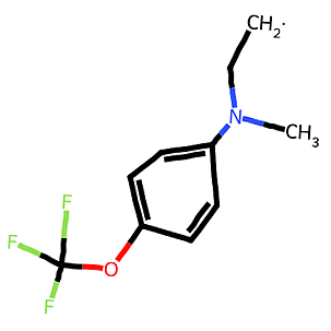 [CH2]CN(C)c1ccc(OC(F)(F)F)cc1